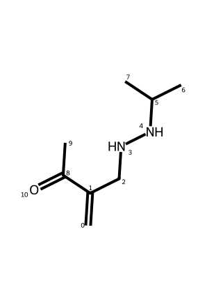 C=C(CNNC(C)C)C(C)=O